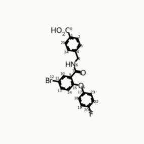 O=C(O)c1ccc(CNC(=O)c2cc(Br)ccc2Oc2ccc(F)cc2)cc1